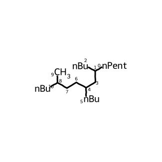 CCCCCC(CCCC)CC(CCCC)CCC(C)CCCC